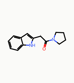 O=C([CH]c1cc2ccccc2[nH]1)N1CCCC1